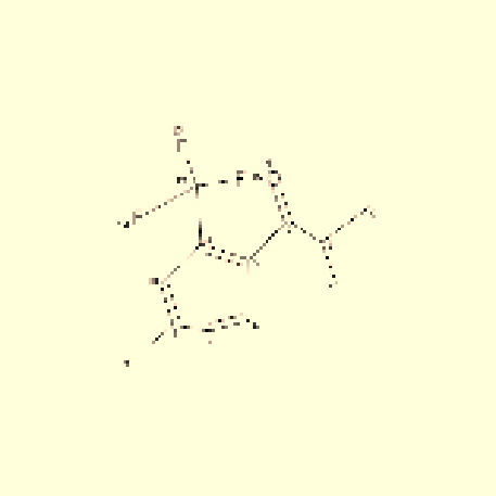 CC(C)C(=O)c1ccc(F)cc1C(F)(F)F